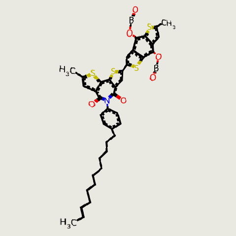 CCCCCCCCCCCCc1ccc(-n2c(=O)c3cc(C)sc3c3sc(-c4cc5c(OB=O)c6sc(C)cc6c(OB=O)c5s4)cc3c2=O)cc1